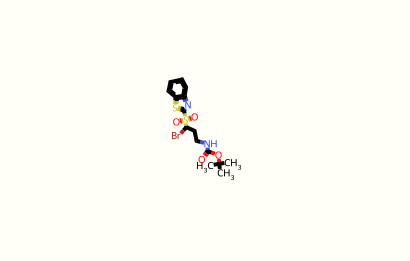 CC(C)(C)OC(=O)NCCC(Br)S(=O)(=O)c1nc2ccccc2s1